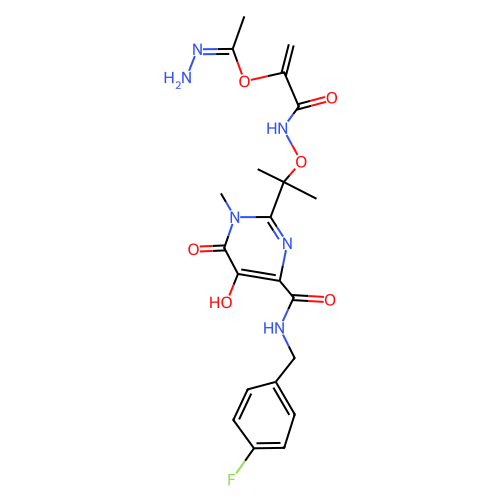 C=C(O/C(C)=N\N)C(=O)NOC(C)(C)c1nc(C(=O)NCc2ccc(F)cc2)c(O)c(=O)n1C